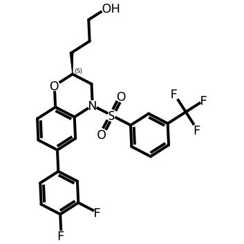 O=S(=O)(c1cccc(C(F)(F)F)c1)N1C[C@H](CCCO)Oc2ccc(-c3ccc(F)c(F)c3)cc21